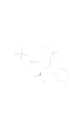 CC(C)(C)OC(=O)N1C[C@@](Oc2ccc(F)cc2Br)(C(N)=O)C[C@H]1C(N)=O